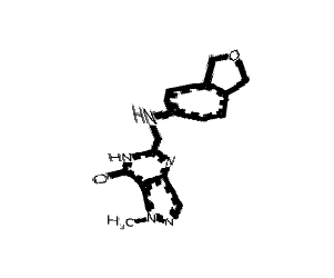 Cn1ncc2nc(Nc3ccc4c(c3)COC4)[nH]c(=O)c21